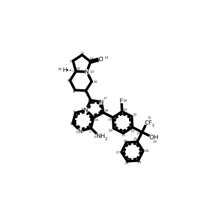 Nc1nccn2c(C3CC[C@H]4CCC(=O)N4C3)nc(-c3ccc(C(O)(c4ccccc4)C(F)(F)F)cc3F)c12